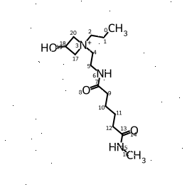 CCC[N+]1(CCNC(=O)CCCCC(=O)NC)CC(O)C1